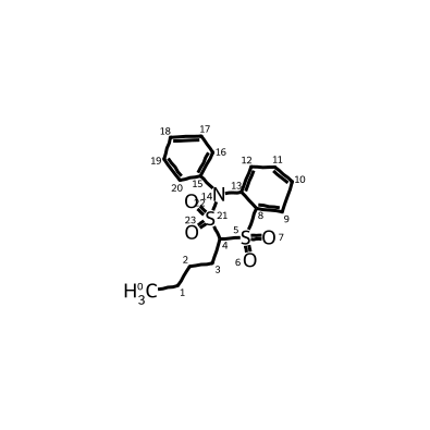 CCCCC1S(=O)(=O)c2ccccc2N(c2ccccc2)S1(=O)=O